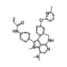 C=CC(=O)Nc1ccc(-c2c3c4c(ncc(N(C)C)c4n2C)NCc2cc(Oc4cccc(C)n4)ccc2-3)cc1